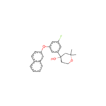 CC1(C)CC(O)(c2cc(F)cc(Oc3ccc4ccccc4c3)c2)CCO1